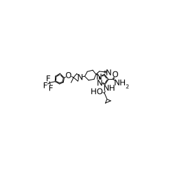 CC1(Oc2ccc(C(F)(F)F)cc2)CN(C2CCC(CC#N)(n3cc(C(N)=O)c(NC(O)C4CC4)n3)CC2)C1